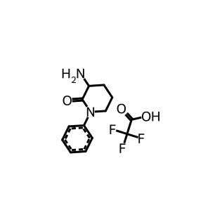 NC1CCCN(c2ccccc2)C1=O.O=C(O)C(F)(F)F